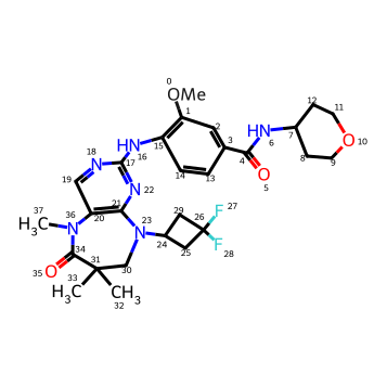 COc1cc(C(=O)NC2CCOCC2)ccc1Nc1ncc2c(n1)N(C1CC(F)(F)C1)CC(C)(C)C(=O)N2C